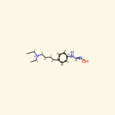 CCN(CC)CCCCc1ccc(NC=NO)cc1